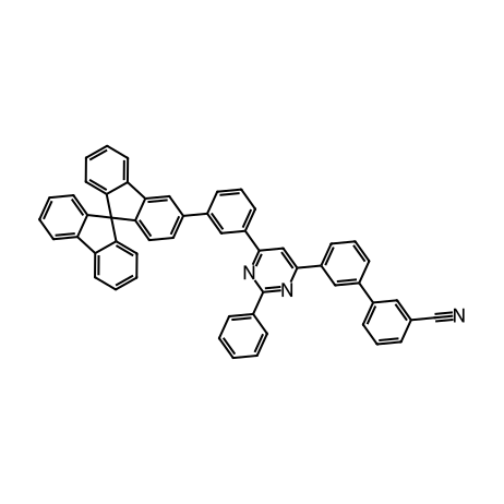 N#Cc1cccc(-c2cccc(-c3cc(-c4cccc(-c5ccc6c(c5)-c5ccccc5C65c6ccccc6-c6ccccc65)c4)nc(-c4ccccc4)n3)c2)c1